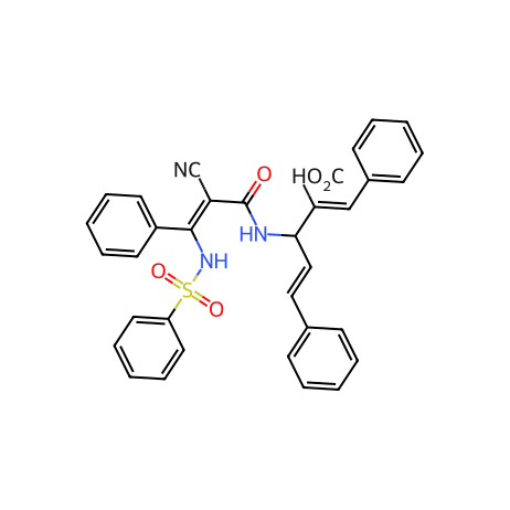 N#CC(C(=O)NC(C=Cc1ccccc1)C(=Cc1ccccc1)C(=O)O)=C(NS(=O)(=O)c1ccccc1)c1ccccc1